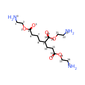 NCCOC(=O)CCCC(CCC(=O)OCCN)C(=O)OCCN